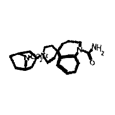 CCOC(=O)N1C2CCC1CC(N1CCC3(CCCN(C(N)=O)C4=C3C=CCC4)CC1)C2